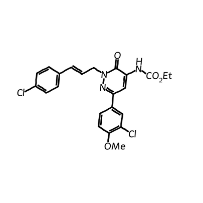 CCOC(=O)Nc1cc(-c2ccc(OC)c(Cl)c2)nn(CC=Cc2ccc(Cl)cc2)c1=O